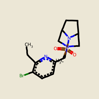 CCc1nc(CN2CC3CCC(C2)N3S(C)(=O)=O)ccc1Br